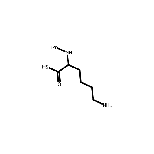 CC(C)NC(CCCCN)C(=O)S